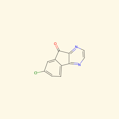 O=C1c2cc(Cl)ccc2-c2nccnc21